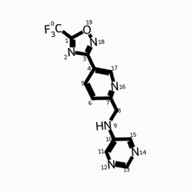 FC(F)(F)c1nc(-c2ccc(CNc3cncnc3)nc2)no1